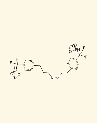 FC(F)(c1ccc(CC/C=N\CCCc2ccc(C(F)(F)[PH]34OC(O3)O4)cc2)cc1)[PH]12OC(O1)O2